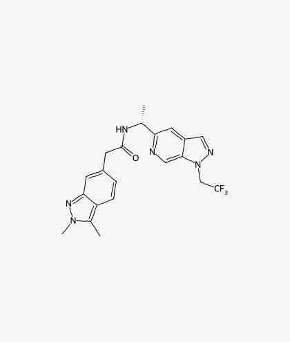 Cc1c2ccc(CC(=O)N[C@H](C)c3cc4cnn(CC(F)(F)F)c4cn3)cc2nn1C